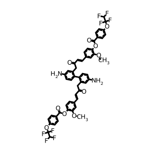 COc1cc(/C=C/C(=O)Cc2cc(N)ccc2-c2ccc(N)cc2CC(=O)/C=C/c2ccc(OC(=O)c3ccc(OC(F)(F)C(F)F)cc3)c(OC)c2)ccc1OC(=O)c1ccc(OC(F)(F)C(F)F)cc1